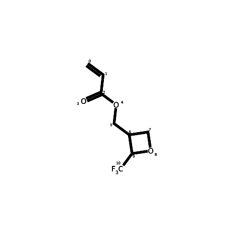 C=CC(=O)OCC1COC1C(F)(F)F